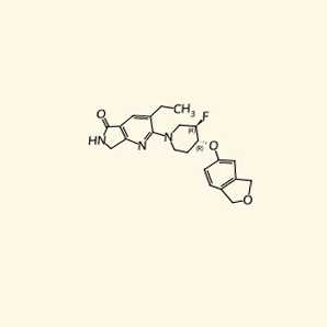 CCc1cc2c(nc1N1CC[C@@H](Oc3ccc4c(c3)COC4)[C@H](F)C1)CNC2=O